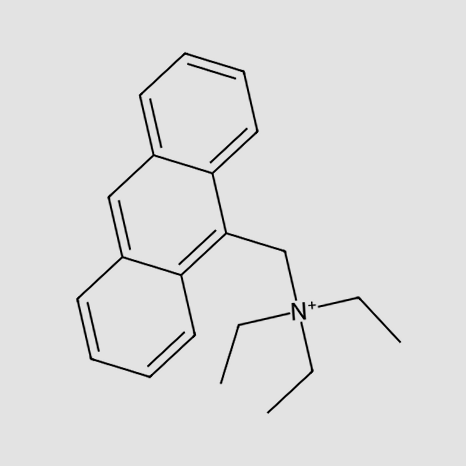 CC[N+](CC)(CC)Cc1c2ccccc2cc2ccccc12